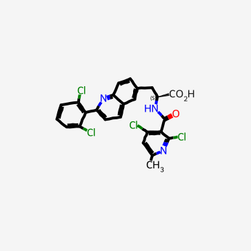 Cc1cc(Cl)c(C(=O)N[C@@H](Cc2ccc3nc(-c4c(Cl)cccc4Cl)ccc3c2)C(=O)O)c(Cl)n1